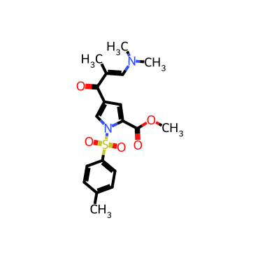 COC(=O)c1cc(C(=O)C(C)=CN(C)C)cn1S(=O)(=O)c1ccc(C)cc1